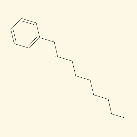 CCCCCCC[CH]Cc1ccccc1